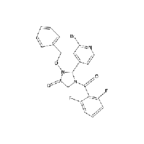 O=C(c1c(F)cccc1F)N1CC(=O)N(OCc2ccccc2)C1c1ccnc(Br)c1